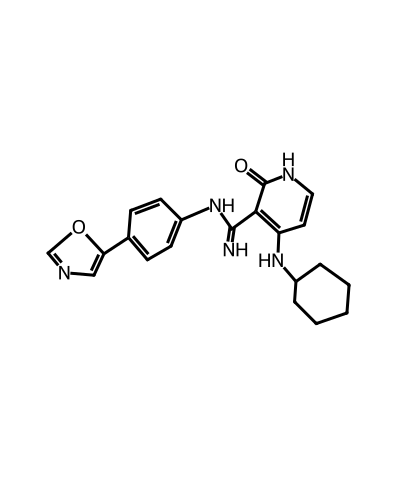 N=C(Nc1ccc(-c2cnco2)cc1)c1c(NC2CCCCC2)cc[nH]c1=O